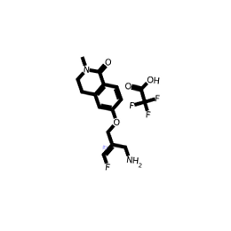 CN1CCc2cc(OC/C(=C/F)CN)ccc2C1=O.O=C(O)C(F)(F)F